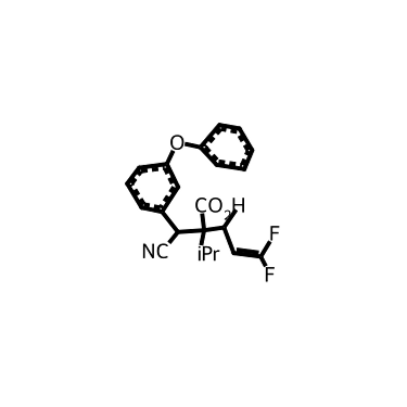 CC(C)C(C(=O)O)(C(C)C=C(F)F)C(C#N)c1cccc(Oc2ccccc2)c1